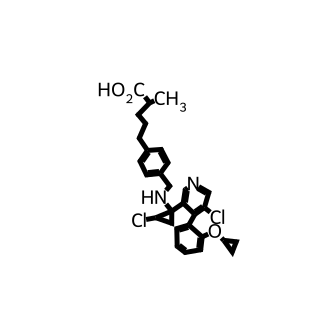 CC(CCCc1ccc(CNC2(c3cncc(Cl)c3-c3ccccc3OC3CC3)CC2Cl)cc1)C(=O)O